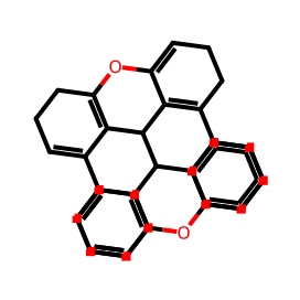 C1=CC2OC3C=CC=CC3C(C3C4=C(CCC=C4c4ccccc4)OC4=CCCC(c5ccccc5)=C43)C2C=C1